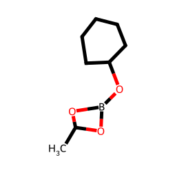 CC1OB(OC2CCCCC2)O1